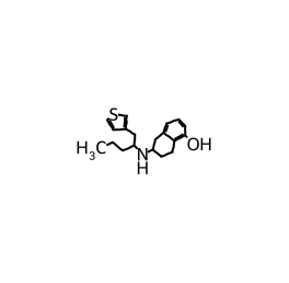 CCCC(Cc1ccsc1)NC1CCc2c(O)cccc2C1